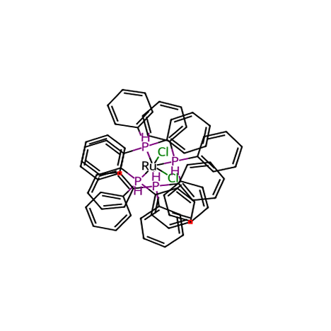 [Cl][Ru]([Cl])([PH](c1ccccc1)(c1ccccc1)c1ccccc1)([PH](c1ccccc1)(c1ccccc1)c1ccccc1)([PH](c1ccccc1)(c1ccccc1)c1ccccc1)[PH](c1ccccc1)(c1ccccc1)c1ccccc1